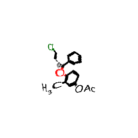 CC(=O)Oc1ccc(O[C@H](CCCl)c2ccccc2)c(C)c1